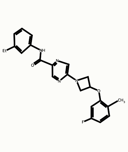 CCc1cccc(NC(=O)c2cnc(N3CC(Oc4cc(F)ccc4C)C3)cn2)c1